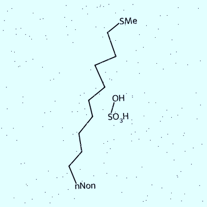 CCCCCCCCCCCCCCCCCCSC.O=S(=O)(O)O